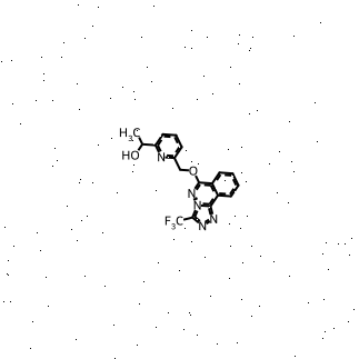 CC(O)c1cccc(COc2nn3c(C(F)(F)F)nnc3c3ccccc23)n1